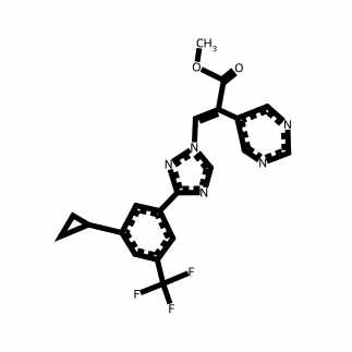 COC(=O)/C(=C/n1cnc(-c2cc(C3CC3)cc(C(F)(F)F)c2)n1)c1cncnc1